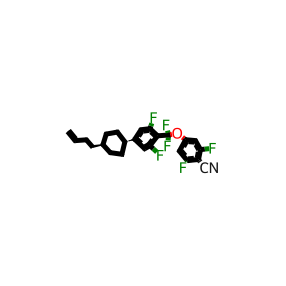 C=CCC[C@H]1CC[C@H](c2cc(F)c(C(F)(F)Oc3cc(F)c(C#N)c(F)c3)c(F)c2)CC1